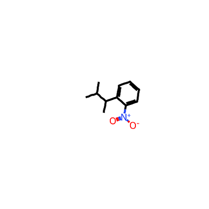 CC(C)C(C)c1ccccc1[N+](=O)[O-]